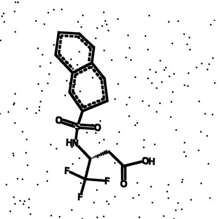 O=C(O)C[C@@H](NS(=O)(=O)c1ccc2ccccc2c1)C(F)(F)F